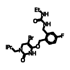 CCNC(=O)NCc1cc(F)ccc1COC1=C(Br)CN(CC(C)C)C(=O)N1